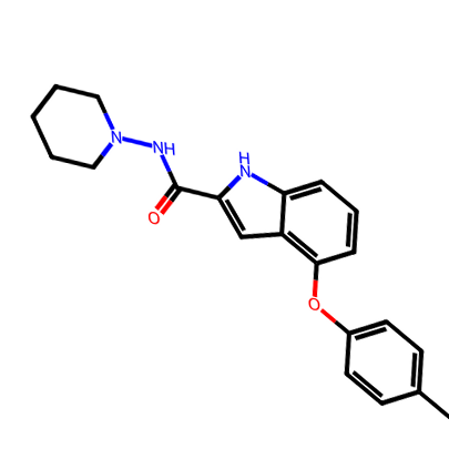 Cc1ccc(Oc2cccc3[nH]c(C(=O)NN4CCCCC4)cc23)cc1